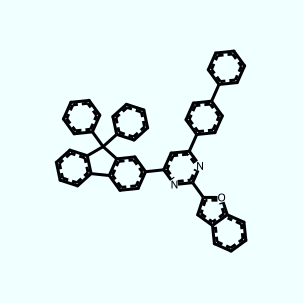 c1ccc(-c2ccc(-c3cc(-c4ccc5c(c4)C(c4ccccc4)(c4ccccc4)c4ccccc4-5)nc(-c4cc5ccccc5o4)n3)cc2)cc1